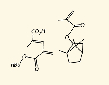 C=C(C)C(=O)OC1CC2CCC1(C)C2(C)C.C=C(C=C(C)C(=O)O)C(=O)OCCCC